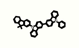 CC1(C)C2=C(CCC=C2)c2ccc(-n3c4ccccc4c4cc(-c5ccc6c(c5)c5ccccc5n6-c5ccccc5)ccc43)cc21